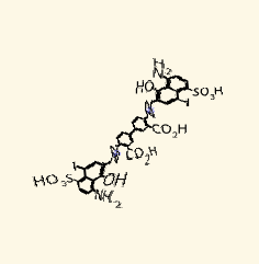 Nc1ccc(S(=O)(=O)O)c2c(I)cc(/N=N/c3ccc(-c4ccc(/N=N/c5cc(I)c6c(S(=O)(=O)O)ccc(N)c6c5O)c(C(=O)O)c4)cc3C(=O)O)c(O)c12